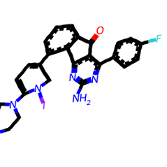 Nc1nc(-c2ccc(F)cc2)c2c(n1)-c1c(cccc1C1=CC=C(N3CCNCC3)N(I)C1)C2=O